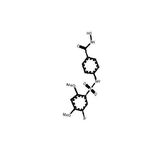 COc1cc(OC)c(S(=O)(=O)Nc2ccc(C(=O)NO)cc2)cc1Br